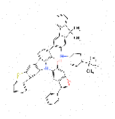 CC(C)(C)c1ccc(Nc2cc3c(cc2-c2ccc4c5cc6sc7ccccc7c6cc5n5c4c2Bc2cc4occ(-c6ccccc6)c4cc2-5)-c2ccccc2C3(C)C)cc1